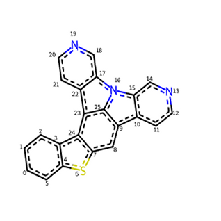 c1ccc2c(c1)sc1cc3c4ccncc4n4c5cnccc5c(c12)c34